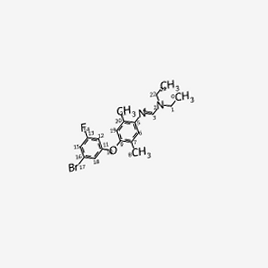 CCN(/C=N/c1cc(C)c(Oc2cc(F)cc(Br)c2)cc1C)CC